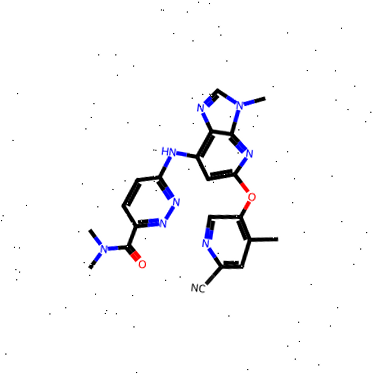 Cc1cc(C#N)ncc1Oc1cc(Nc2ccc(C(=O)N(C)C)nn2)c2ncn(C)c2n1